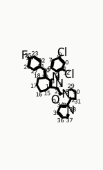 O=C(c1nn(-c2ccc(Cl)cc2Cl)c2c1CCCCC2=Cc1ccc(F)cc1)N1CCCC1c1ccccn1